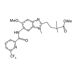 COC(=O)C(C)(C)CCc1nc2cc(OC)c(NC(=O)c3cccc(C(F)(F)F)n3)cc2n1C